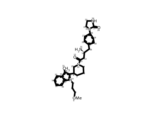 COCCCn1c(C2CCCN(C(=O)C[C@H](N)Cc3ccc(N4CCNC4=O)cc3)C2)c(C)c2ccccc21